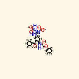 COC(=O)N=C(NC(=O)OC)Nc1ccc(NC(=O)COc2ccccc2)c(C(=O)c2ccccc2)c1